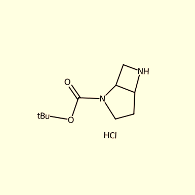 CC(C)(C)OC(=O)N1CCC2NCC21.Cl